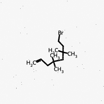 C=CCC(C)(C)CC(C)(C)CCBr